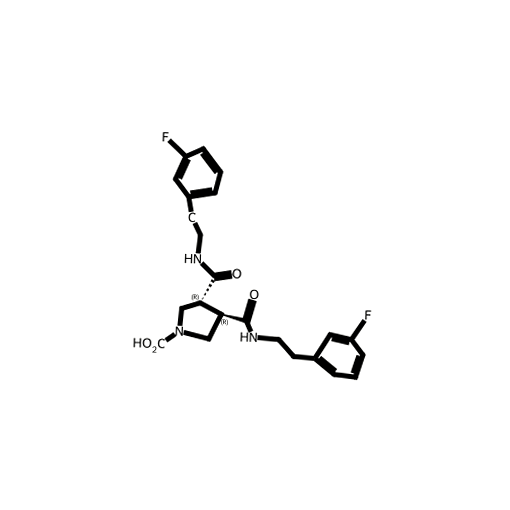 O=C(NCCc1cccc(F)c1)[C@H]1CN(C(=O)O)C[C@@H]1C(=O)NCCc1cccc(F)c1